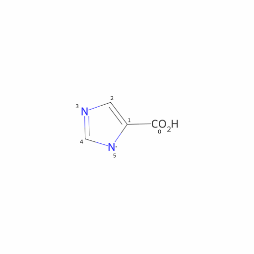 O=C(O)C1=CN=C[N]1